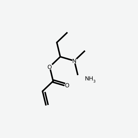 C=CC(=O)OC(CC)N(C)C.N